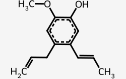 C=CCc1cc(OC)c(O)cc1C=CC